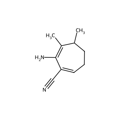 CC1=C(N)C(C#N)=CCCC1C